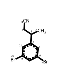 CC(CC#N)c1cc(Br)cc(Br)c1